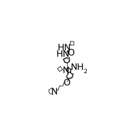 Nc1c(-c2ccc(NC(=O)NC3CCC3)cc2)n(C2CCC2)c2cc(OCCCCN3CCCC3)ccc12